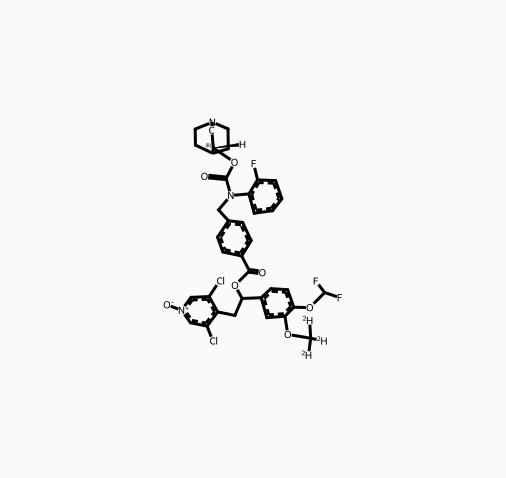 [2H]C([2H])([2H])Oc1cc(C(Cc2c(Cl)c[n+]([O-])cc2Cl)OC(=O)c2ccc(CN(C(=O)O[C@H]3CN4CCC3CC4)c3ccccc3F)cc2)ccc1OC(F)F